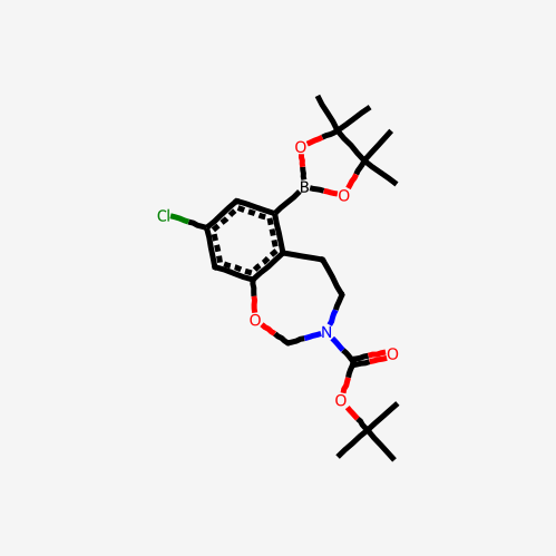 CC(C)(C)OC(=O)N1CCc2c(cc(Cl)cc2B2OC(C)(C)C(C)(C)O2)OC1